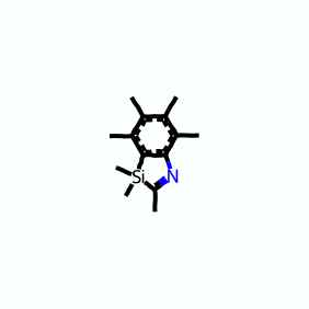 CC1=Nc2c(C)c(C)c(C)c(C)c2[Si]1(C)C